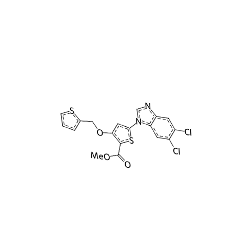 COC(=O)c1sc(-n2cnc3cc(Cl)c(Cl)cc32)cc1OCc1cccs1